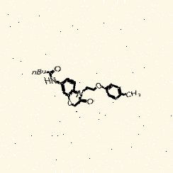 CCCCC(=O)Nc1ccc2c(c1)OCC(=O)N2CCOc1ccc(C)cc1